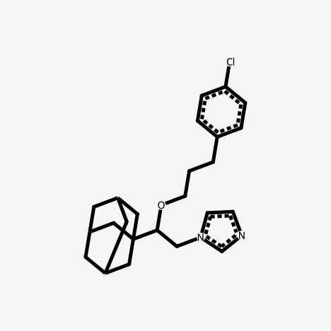 Clc1ccc(CCCOC(Cn2ccnc2)C23CC4CC(CC(C4)C2)C3)cc1